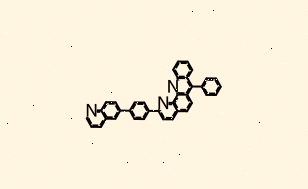 c1ccc(-c2c3ccccc3nc3c2ccc2ccc(-c4ccc(-c5ccc6ncccc6c5)cc4)nc23)cc1